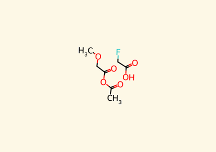 COCC(=O)OC(C)=O.O=C(O)CF